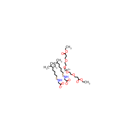 CC(C)CCCCCSNCC(=O)[O-].CC(C)CCCCCSNCC(=O)[O-].CCOC(=O)CCOCC[O][Sn+2][O]CCOCCC(=O)OCC